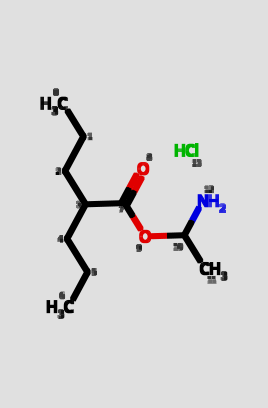 CCCC(CCC)C(=O)OC(C)N.Cl